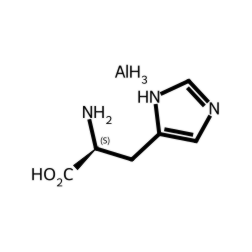 N[C@@H](Cc1cnc[nH]1)C(=O)O.[AlH3]